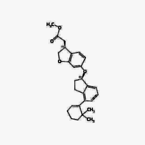 COC(=O)C[C@@H]1COc2cc(O[C@@H]3CCc4c(C5=CCCCC5(C)C)cccc43)ccc21